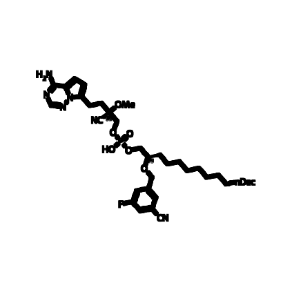 CCCCCCCCCCCCCCCCCC[C@H](COP(=O)(O)OC[C@](C#N)(CCc1ccc2c(N)ncnn12)OC)OCc1cc(F)cc(C#N)c1